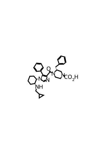 O=C(O)N1CCN(C(=O)c2ncn([C@H]3CCCC[C@H]3NCC3CC3)c2-c2ccccc2)[C@H](Cc2ccccc2)C1